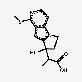 CSc1nccc2c1cc1n2CCC1(O)C(C)C(=O)O